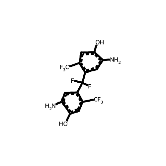 Nc1cc(C(F)(F)c2cc(N)c(O)cc2C(F)(F)F)c(C(F)(F)F)cc1O